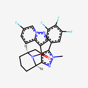 Cn1nc2c(c1-c1cc(F)c(F)c(F)c1)C[C@@H]1CCC[C@H]2N1C(=O)c1cnn2cc(F)ccc12